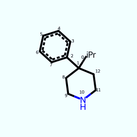 CC(C)C1(c2ccccc2)CCNCC1